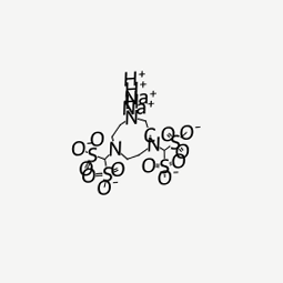 O=S(=O)([O-])C(N1CCNCCN(C(S(=O)(=O)[O-])S(=O)(=O)[O-])CC1)S(=O)(=O)[O-].[H+].[H+].[Na+].[Na+]